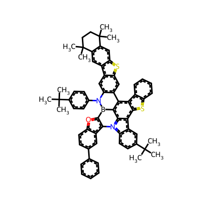 CC(C)(C)c1ccc(N2B3c4oc5ccc(-c6ccccc6)cc5c4-n4c5ccc(C(C)(C)C)cc5c5c6sc7ccccc7c6c(c3c54)-c3cc4sc5cc6c(cc5c4cc32)C(C)(C)CCC6(C)C)cc1